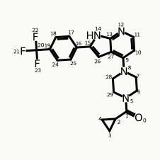 O=C(C1CC1)N1CCN(c2ccnc3[nH]c(-c4ccc(C(F)(F)F)cc4)cc23)CC1